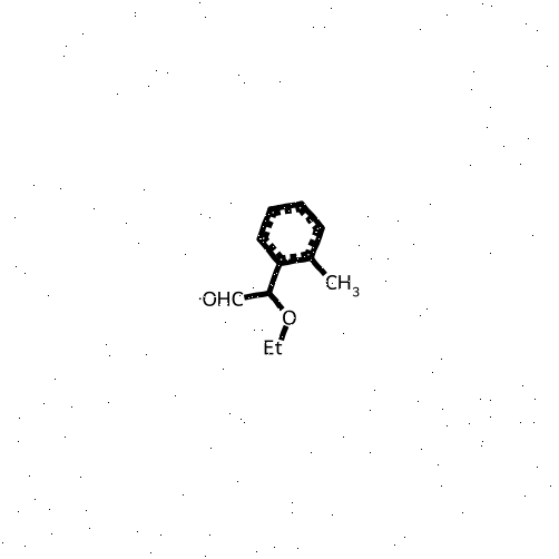 CCOC([C]=O)c1ccccc1C